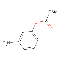 COC(=O)Oc1cccc([N+](=O)[O-])c1